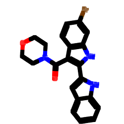 O=C(c1c(-c2cc3ccccc3[nH]2)[nH]c2cc(Br)ccc12)N1CCOCC1